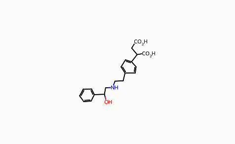 O=C(O)CC(C(=O)O)c1ccc(CCNCC(O)c2ccccc2)cc1